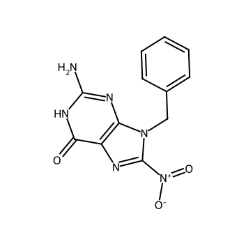 Nc1nc2c(nc([N+](=O)[O-])n2Cc2ccccc2)c(=O)[nH]1